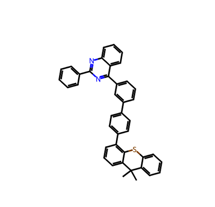 CC1(C)c2ccccc2Sc2c(-c3ccc(-c4cccc(-c5nc(-c6ccccc6)nc6ccccc56)c4)cc3)cccc21